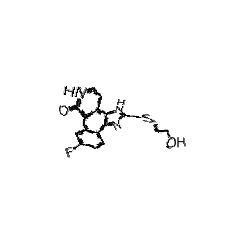 O=c1[nH]ccc2c3[nH]c(SCCO)nc3c3ccc(F)cc3c12